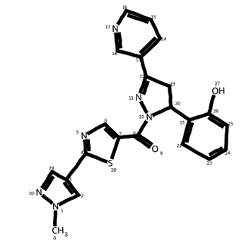 Cn1cc(-c2ncc(C(=O)N3N=C(c4cccnc4)CC3c3ccccc3O)s2)cn1